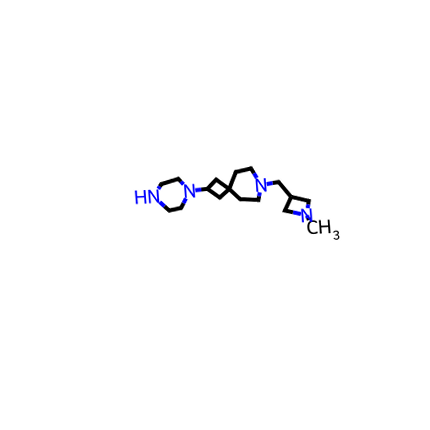 CN1CC(CN2CCC3(CC2)CC(N2CCNCC2)C3)C1